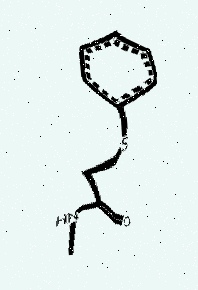 CNC(=O)CSc1ccccc1